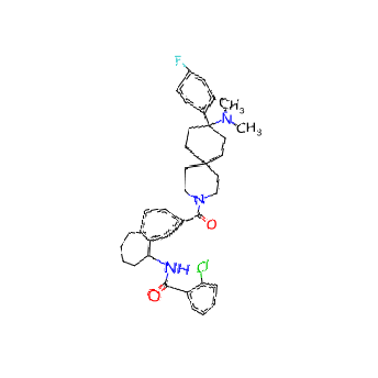 CN(C)C1(c2ccc(F)cc2)CCC2(CCN(C(=O)c3ccc4c(c3)C(NC(=O)c3ccccc3Cl)CCCC4)CC2)CC1